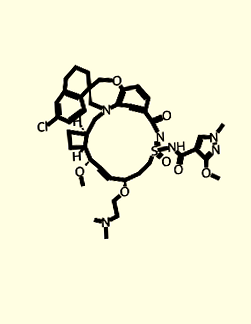 COc1nn(C)cc1C(=O)NS1(=O)=NC(=O)c2ccc3c(c2)N(C[C@@H]2CC[C@H]2[C@@H](OC)/C=C/[C@H](OCCN(C)C)CC1)C[C@@]1(CCCc2cc(Cl)ccc21)CO3